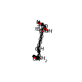 Cc1ncsc1-c1ccc(CNC(=O)[C@@H]2C[C@@H](O)CN2C(=O)[C@@H](NC(=O)COCCOCCOCCOCCOCCNC(=O)c2ccc(CCOc3cc(-c4ccccc4O)nnc3N)cc2)C(C)(C)C)cc1